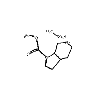 CC(=O)O.CC(C)(C)OC(=O)N1CCC2CCNCC21